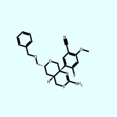 COc1cc(F)c([C@]23CO[C@@H](COCc4ccccc4)C[C@H]2CSC(N)=N3)cc1C#N